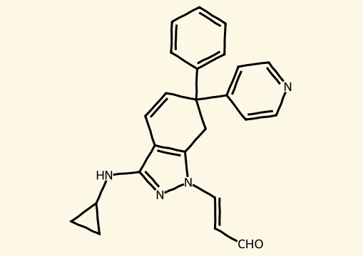 O=CC=Cn1nc(NC2CC2)c2c1CC(c1ccccc1)(c1ccncc1)C=C2